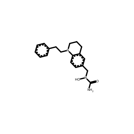 NC(=O)N(O)Cc1ccc2c(c1)CCCN2CCc1ccccc1